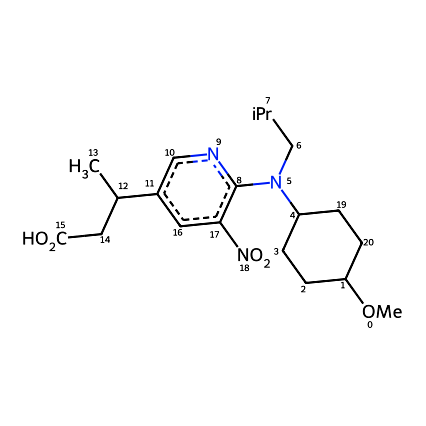 COC1CCC(N(CC(C)C)c2ncc(C(C)CC(=O)O)cc2[N+](=O)[O-])CC1